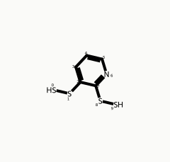 SSc1cccnc1SS